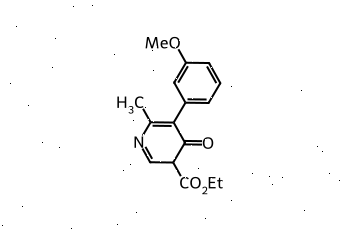 CCOC(=O)C1C=NC(C)=C(c2cccc(OC)c2)C1=O